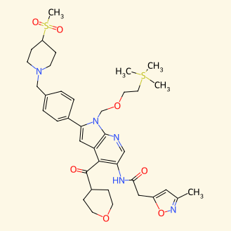 Cc1cc(CC(=O)Nc2cnc3c(cc(-c4ccc(CN5CCC(S(C)(=O)=O)CC5)cc4)n3COCCS(C)(C)C)c2C(=O)C2CCOCC2)on1